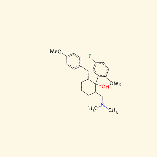 COc1ccc(/C=C2\CCCC(CN(C)C)C2(O)c2cc(F)ccc2OC)cc1